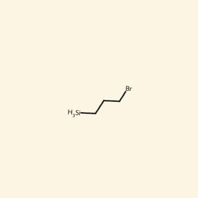 [SiH3]CCCBr